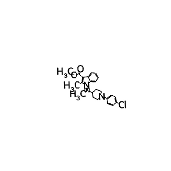 COC(=O)c1c(C)n([C@H](C)C2CCN(c3ccc(Cl)cc3)CC2)c2ccccc12